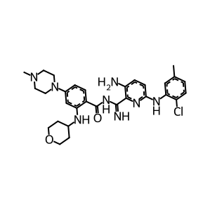 Cc1ccc(Cl)c(Nc2ccc(N)c(C(=N)NC(=O)c3ccc(N4CCN(C)CC4)cc3NC3CCOCC3)n2)c1